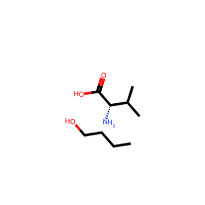 CC(C)[C@H](N)C(=O)O.CCCCO